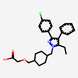 CCc1c(-c2ccccc2)c(-c2ccc(Cl)cc2)nn1CC1CCC(COCC(=O)O)CC1